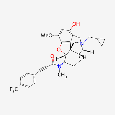 COc1cc(O)c2c3c1O[C@H]1[C@H](N(C)C(=O)C#Cc4ccc(C(F)(F)F)cc4)CC[C@H]4[C@@H](C2)N(CC2CC2)CC[C@@]341